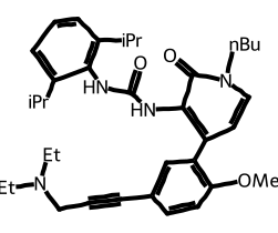 CCCCn1ccc(-c2cc(C#CCN(CC)CC)ccc2OC)c(NC(=O)Nc2c(C(C)C)cccc2C(C)C)c1=O